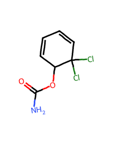 NC(=O)OC1C=CC=CC1(Cl)Cl